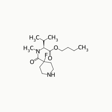 CCCCOC(=O)[C@H](C(C)C)N(C)C(=O)C1(F)CCNCC1